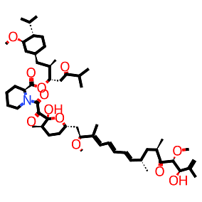 C=C(C)[C@@H](O)[C@@H](OC)C(=O)[C@H](C)C[C@H](C)/C=C/C=C/C=C(\C)[C@H](C[C@@H]1CC[C@@H](C)[C@](O)(C(=O)C(=O)N2CCCC[C@H]2C(=O)O[C@@H](CC(=O)C(C)C)[C@H](C)C[C@@H]2CC[C@@H](C(C)C)[C@H](OC)C2)O1)OC